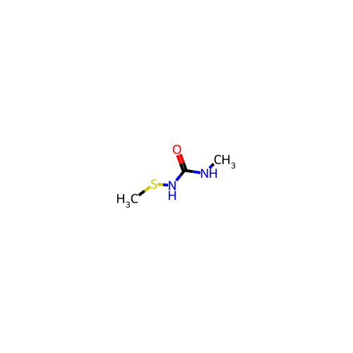 CNC(=O)NSC